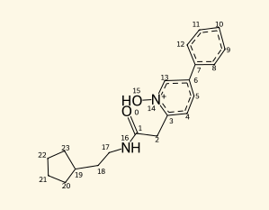 O=C(Cc1ccc(-c2ccccc2)c[n+]1O)NCCC1CCCC1